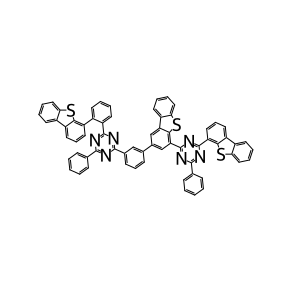 c1ccc(-c2nc(-c3cccc(-c4cc(-c5nc(-c6ccccc6)nc(-c6cccc7c6sc6ccccc67)n5)c5sc6ccccc6c5c4)c3)nc(-c3ccccc3-c3cccc4c3sc3ccccc34)n2)cc1